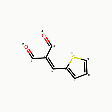 O=CC(C=O)=Cc1cccs1